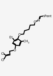 CCCCCC=NOCCCCCOc1c(C)cc(OCC=C(Cl)Cl)cc1CC